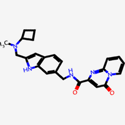 CN(Cc1cc2ccc(CNC(=O)c3cc(=O)n4ccccc4n3)cc2[nH]1)C1CCC1